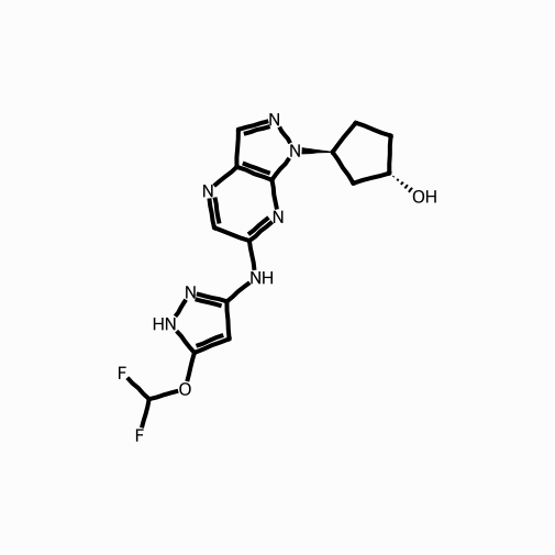 O[C@H]1CC[C@H](n2ncc3ncc(Nc4cc(OC(F)F)[nH]n4)nc32)C1